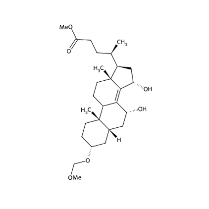 COCO[C@@H]1CC[C@]2(C)C3CC[C@@]4(C)C(=C3[C@H](O)C[C@@H]2C1)[C@@H](O)C[C@@H]4[C@H](C)CCC(=O)OC